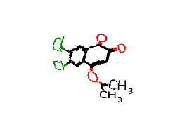 CC(C)OC1=CC(=O)C(=O)c2cc(Cl)c(Cl)cc21